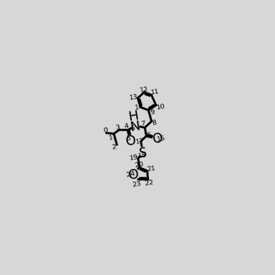 CC(C)CC(=O)NC(Cc1ccccc1)C(=O)CSCc1ccco1